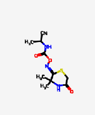 CC(C#N)NC(=O)ON=C1SCC(=O)NC1(C)C